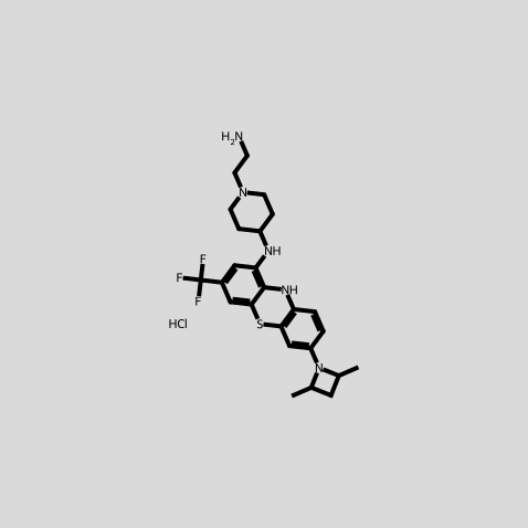 CC1CC(C)N1c1ccc2c(c1)Sc1cc(C(F)(F)F)cc(NC3CCN(CCN)CC3)c1N2.Cl